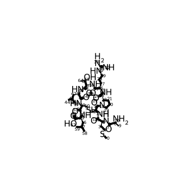 CSCC[C@H](NC(=O)[C@H](C)N)C(=O)N[C@@H](C)C(=O)N1CCC[C@H]1C(=O)N[C@@H](CCCNC(=N)N)C(=O)N[C@H](C(=O)N[C@@H](CC(C)C)C(=O)N[C@@H](CS)C(=O)N[C@@H](CC(C)C)C(=O)O)[C@@H](C)O